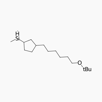 C[SiH](C)C1CCC(CCCCCCOC(C)(C)C)C1